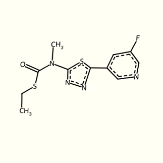 CCSC(=O)N(C)c1nnc(-c2cncc(F)c2)s1